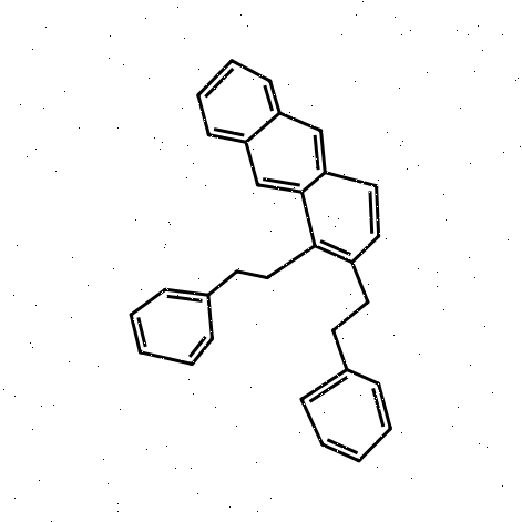 c1ccc(CCc2ccc3cc4ccccc4cc3c2CCc2ccccc2)cc1